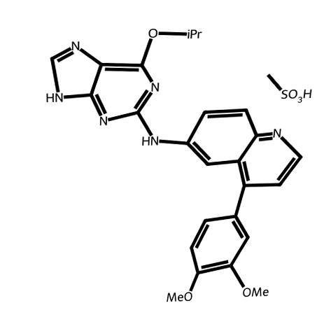 COc1ccc(-c2ccnc3ccc(Nc4nc(OC(C)C)c5nc[nH]c5n4)cc23)cc1OC.CS(=O)(=O)O